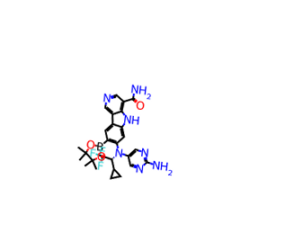 CC1(C)OB(c2cc3c(cc2N(c2cnc(N)nc2)[C@H](C2CC2)C(F)(F)F)[nH]c2c(C(N)=O)cncc23)OC1(C)C